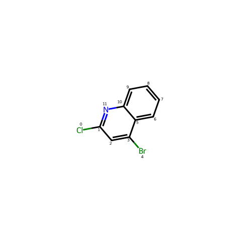 Clc1cc(Br)c2ccccc2n1